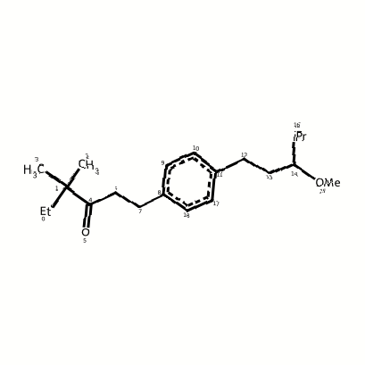 CCC(C)(C)C(=O)CCc1ccc(CCC(OC)C(C)C)cc1